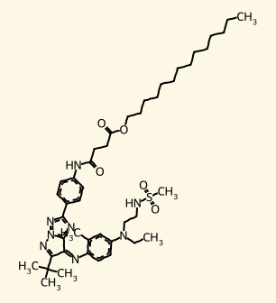 CCCCCCCCCCCCCCOC(=O)CCC(=O)Nc1ccc(-c2nc3n(n2)N=C(C(C)(C)C)/C3=N/c2ccc(N(CC)CCNS(C)(=O)=O)cc2C)cc1